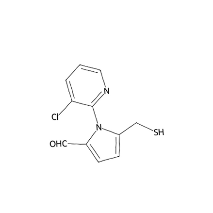 O=Cc1ccc(CS)n1-c1ncccc1Cl